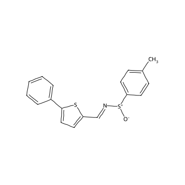 Cc1ccc([S+]([O-])/N=C/c2ccc(-c3ccccc3)s2)cc1